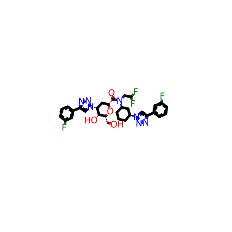 O=C([C@H]1C[C@@H](n2cc(-c3cccc(F)c3)nn2)[C@@H](O)[C@@H](CO)O1)N(CC(F)F)[C@@H]1CCC[C@H](n2cc(-c3cccc(F)c3)nn2)C1